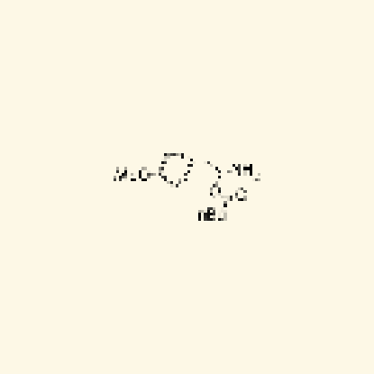 CCCCC(=O)O[C@@H](N)Cc1ccc(OC)cc1